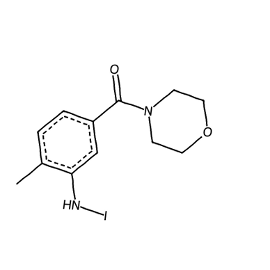 Cc1ccc(C(=O)N2CCOCC2)cc1NI